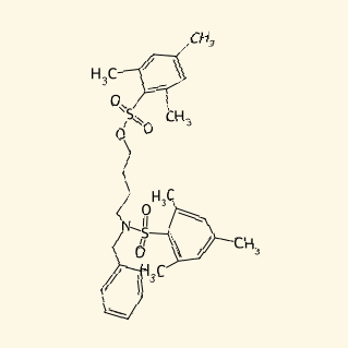 Cc1cc(C)c(S(=O)(=O)OCCCCN(Cc2ccccc2)S(=O)(=O)c2c(C)cc(C)cc2C)c(C)c1